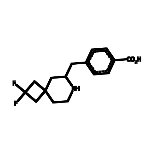 O=C(O)c1ccc(CC2CC3(CCN2)CC(F)(F)C3)cc1